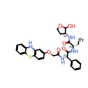 CC(C)C[C@H](NC(=O)[C@@H](NC(=O)COc1ccc2c(c1)Nc1ccccc1S2)c1ccccc1)C(=O)N[C@H]1CCOC1O